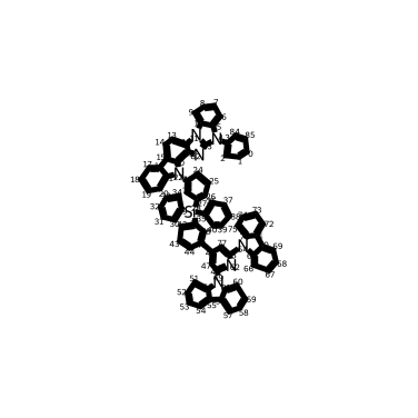 c1ccc(-n2c3ccccc3n3c4ccc5c6ccccc6n(-c6cccc([Si](c7ccccc7)(c7ccccc7)c7cccc(-c8cc(-n9c%10ccccc%10c%10ccccc%109)nc(-n9c%10ccccc%10c%10ccccc%109)c8)c7)c6)c5c4nc23)cc1